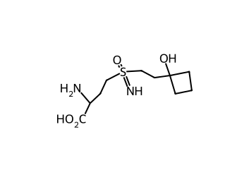 N=S(=O)(CCC(N)C(=O)O)CCC1(O)CCC1